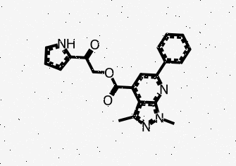 Cc1nn(C)c2nc(-c3ccccc3)cc(C(=O)OCC(=O)c3ccc[nH]3)c12